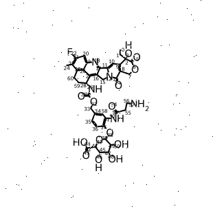 CC[C@@]1(O)C(=O)OCc2c1cc1n(c2=O)Cc2c-1nc1cc(F)c(C)c3c1c2[C@@H](NC(=O)OCc1ccc(O[C@@H]2OC(C(=O)O)[C@@H](O)[C@H](O)C2O)c(NC(=O)CCN)c1)CC3